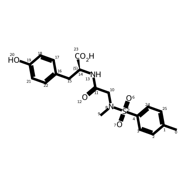 Cc1ccc(S(=O)(=O)N(C)CC(=O)N[C@@H](Cc2ccc(O)cc2)C(=O)O)cc1